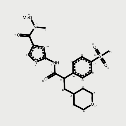 CON(C)C(=O)c1cnc(NC(=O)C(CC2CCOCC2)c2ccc(S(C)(=O)=O)cc2)s1